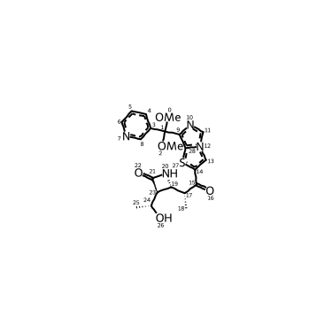 COC(OC)(c1cccnc1)c1ncn2cc(C(=O)[C@H](C)[C@H]3NC(=O)[C@@H]3[C@@H](C)O)sc12